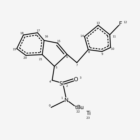 CN([Si](=O)CC1C(Cc2ccc(F)cc2)=Cc2ccccc21)C(C)(C)C.[Ti]